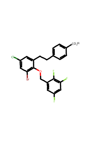 O=C(O)c1ccc(CCc2cc(Cl)cc(Br)c2OCc2cc(F)cc(F)c2F)cc1